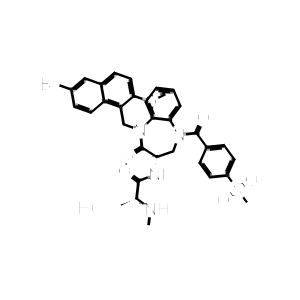 CN[C@@H](C)C(=O)N[C@H]1CN(C(=O)c2ccc(S(C)(=O)=O)cc2)c2ccccc2N(Cc2c(OC)ccc3cc(Br)ccc23)C1=O.Cl